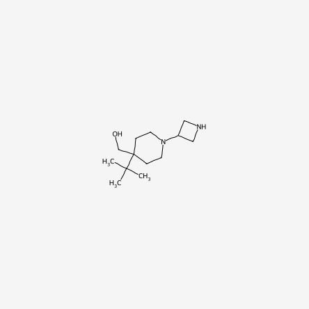 CC(C)(C)C1(CO)CCN(C2CNC2)CC1